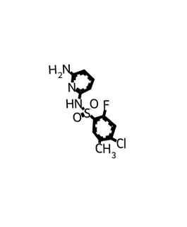 Cc1cc(S(=O)(=O)Nc2cccc(N)n2)c(F)cc1Cl